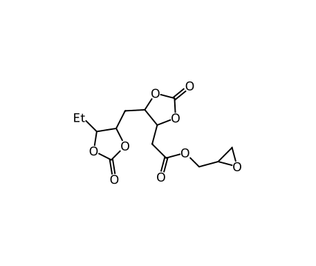 CCC1OC(=O)OC1CC1OC(=O)OC1CC(=O)OCC1CO1